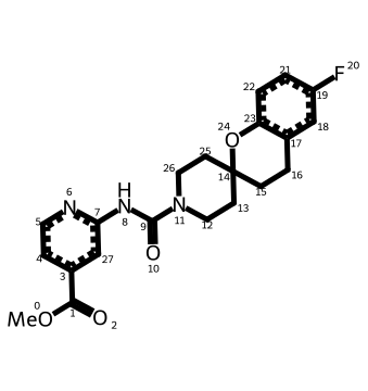 COC(=O)c1ccnc(NC(=O)N2CCC3(CCc4cc(F)ccc4O3)CC2)c1